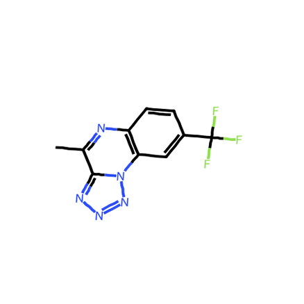 Cc1nc2ccc(C(F)(F)F)cc2n2nnnc12